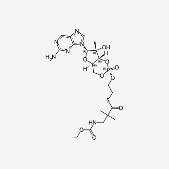 CCOC(=O)NCC(C)(C)C(=O)SCCO[P@@]1(=O)OC[C@H]2O[C@@H](n3cnc4cnc(N)nc43)[C@](C)(O)[C@@H]2O1